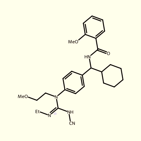 CC/N=C(/NC#N)N(CCOC)c1ccc(C(NC(=O)c2ccccc2OC)C2CCCCC2)cc1